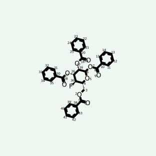 O=C(OC[C@H]1OC(OC(=O)c2ccccc2)[C@@H](OC(=O)c2ccccc2)[C@@H](OC(=O)c2ccccc2)[C@@H]1F)c1ccccc1